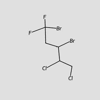 FC(F)(Br)C[C](Br)C(Cl)CCl